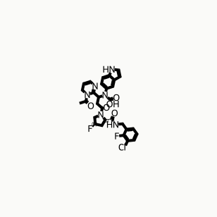 CC(=O)N1CC=CN=C1C(CC(=O)N1C[C@H](F)C[C@H]1C(=O)NCc1cccc(Cl)c1F)N(C(=O)O)c1ccc2[nH]ccc2c1